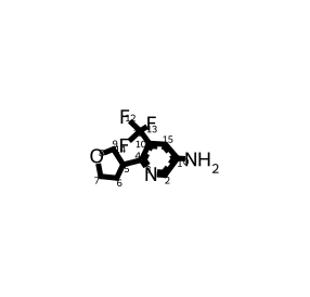 Nc1cnc(C2CCOC2)c(C(F)(F)F)c1